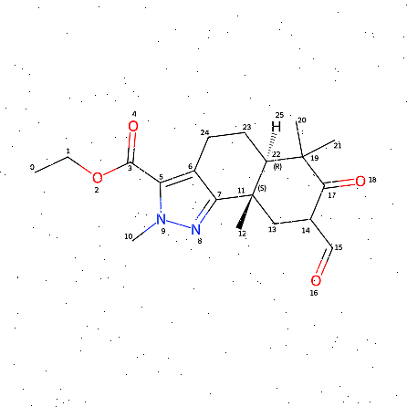 CCOC(=O)c1c2c(nn1C)[C@@]1(C)CC(C=O)C(=O)C(C)(C)[C@@H]1CC2